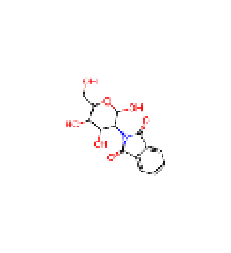 O=C1c2ccccc2C(=O)N1C1C(O)OC(CO)C(O)C1O